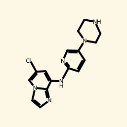 Clc1cc(Nc2ccc(N3CCNCC3)cn2)c2nccn2c1